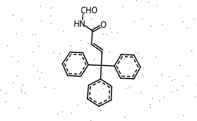 O=CNC(=O)C=CC(c1ccccc1)(c1ccccc1)c1ccccc1